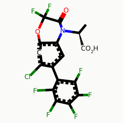 C[C@@H](C(=O)O)N1C(=O)C(F)(F)Oc2cc(Cl)c(-c3c(F)c(F)c(F)c(F)c3F)cc21